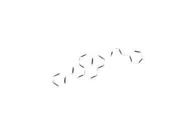 CC(C)(C)c1ccc(-c2cc3ccc4cc(-c5ncc(-c6ccccc6)o5)cc5ccc(c2)c3c45)cc1